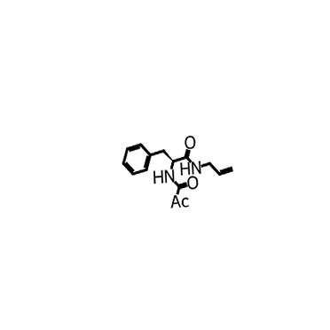 C=CCNC(=O)[C@H](Cc1ccccc1)NC(=O)C(C)=O